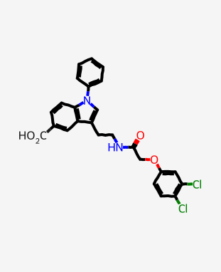 O=C(COc1ccc(Cl)c(Cl)c1)NCCc1cn(-c2ccccc2)c2ccc(C(=O)O)cc12